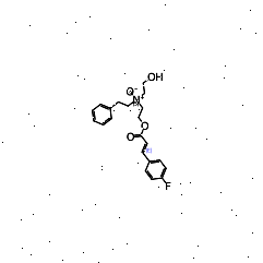 O=C(/C=C/c1ccc(F)cc1)OCC[N@@+]([O-])(CCO)CCc1ccccc1